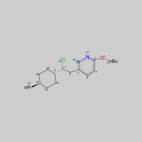 CCCCOc1ccc(CC(Cl)[C@H]2CC[C@H](CCC)CC2)nn1